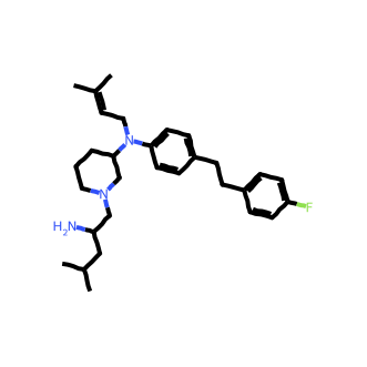 CC(C)=CCN(c1ccc(CCc2ccc(F)cc2)cc1)C1CCCN(CC(N)CC(C)C)C1